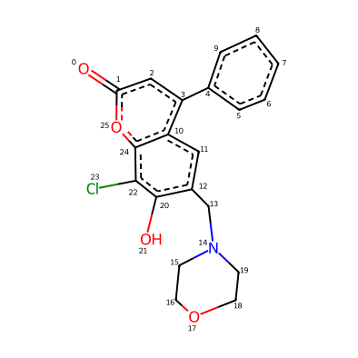 O=c1cc(-c2ccccc2)c2cc(CN3CCOCC3)c(O)c(Cl)c2o1